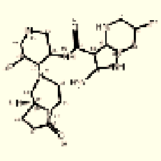 NC1NN2CC(F)CNC2C1C(=O)NC1CNCC(F)C1N1CCN2C(=O)CC[C@@H]2C1